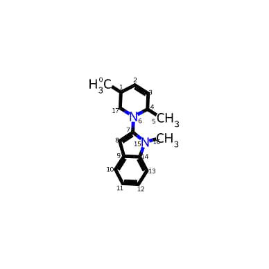 CC1C=CC(C)N(c2cc3ccccc3n2C)C1